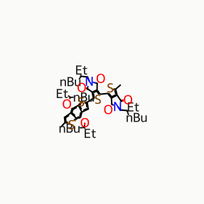 CCCCC(CC)CN1C(=O)c2c(C)sc(-c3sc(-c4cc5c(OC(CC)CCCC)c6sc(C)cc6c(OC(CC)CCCC)c5s4)c4c3C(=O)N(CC(CC)CCCC)C4=O)c2C1=O